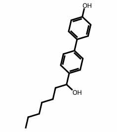 CCCCCCC(O)c1ccc(-c2ccc(O)cc2)cc1